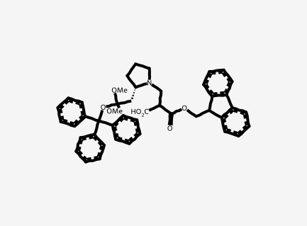 COC(C[C@@H]1CCCN1CC(C(=O)O)C(=O)OCC1c2ccccc2-c2ccccc21)(OC)OC(c1ccccc1)(c1ccccc1)c1ccccc1